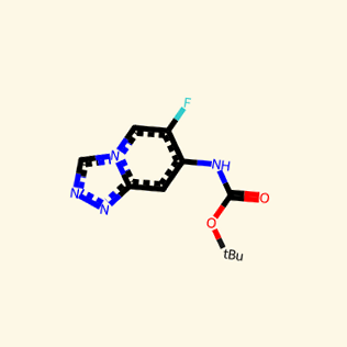 CC(C)(C)OC(=O)Nc1cc2nncn2cc1F